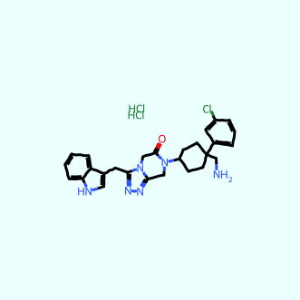 Cl.Cl.NCC1(c2cccc(Cl)c2)CCC(N2Cc3nnc(Cc4c[nH]c5ccccc45)n3CC2=O)CC1